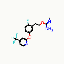 C/N=C(/N)OCCc1cc(Oc2cc(C(F)(F)F)ccn2)ccc1F